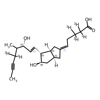 [2H]C([2H])(C#CC)C(C)[C@H](O)/C=C/[C@@H]1[C@H]2C/C(=C\CC([2H])([2H])C([2H])([2H])C(=O)O)C[C@H]2C[C@H]1O